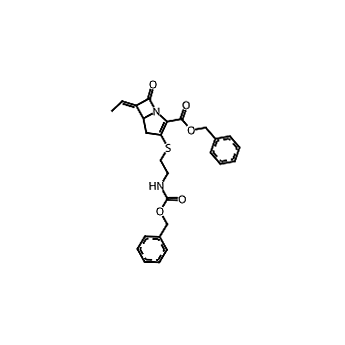 C/C=C1/C(=O)N2C(C(=O)OCc3ccccc3)=C(SCCNC(=O)OCc3ccccc3)CC12